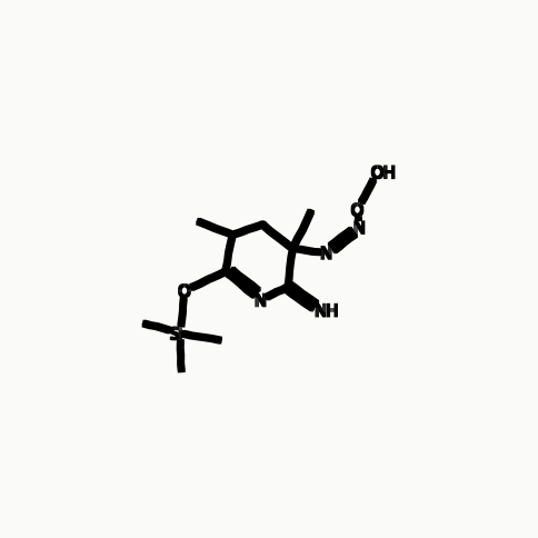 CC1CC(C)(/N=N\OO)C(=N)N=C1O[Si](C)(C)C